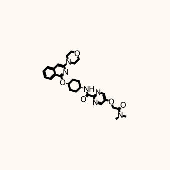 CN(C)C(=O)COc1cnc(C(=O)N[C@H]2CC[C@@H](Oc3nc(N4CCOCC4)cc4ccccc34)CC2)nc1